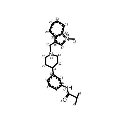 CC(C)C(=O)Nc1cccc(C2CCN(Cc3cn(C)c4ccccc34)CC2)c1